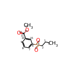 CCCS(=O)(=O)c1cccc(C(=O)OC)c1